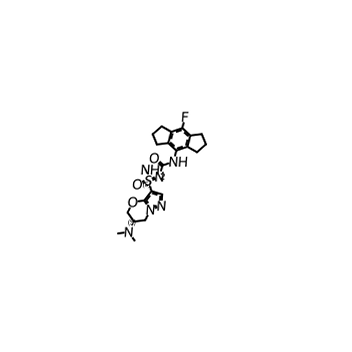 CN(C)[C@@H]1COc2c([S@@](N)(=O)=NC(=O)Nc3c4c(c(F)c5c3CCC5)CCC4)cnn2C1